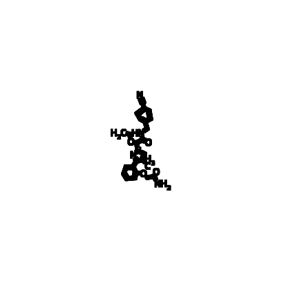 CCOC(C(=O)NCc1ccc(C#N)cc1)n1cc(C)c(-c2ccccc2OCC(N)=O)n1